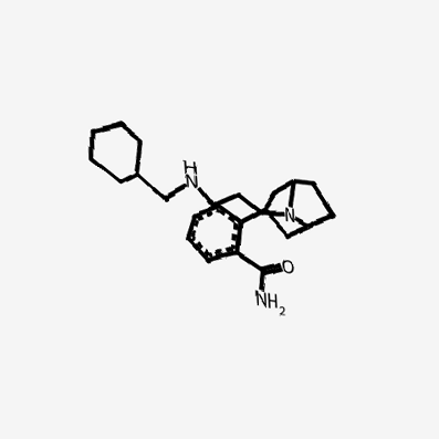 NC(=O)c1ccccc1C1CC2CCC(C1)N2CCCNCC1CCCCC1